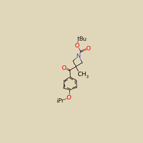 CC(C)Oc1ccc(C(=O)C2(C)CN(C(=O)OC(C)(C)C)C2)cc1